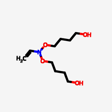 C=CN(OCCCCO)OCCCCO